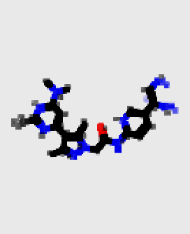 Cc1nn(CC(=O)Nc2ccc(/C(N)=C/N)cn2)c(C)c1-c1cc(N(C)C)nc(C(F)(F)F)n1